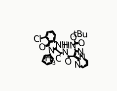 C[C@H](NC(=O)c1c(NC(=O)OC(C)(C)C)nn2cccnc12)c1nc2cccc(Cl)c2c(=O)n1-c1ccccc1